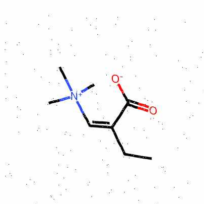 CCC(=C[N+](C)(C)C)C(=O)[O-]